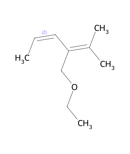 C/C=C\C(COCC)=C(C)C